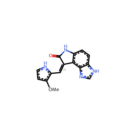 COc1cc[nH]c1/C=C1\C(=O)Nc2ccc3[nH]cnc3c21